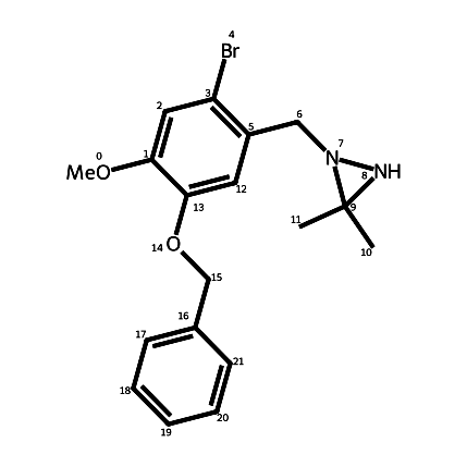 COc1cc(Br)c(CN2NC2(C)C)cc1OCc1ccccc1